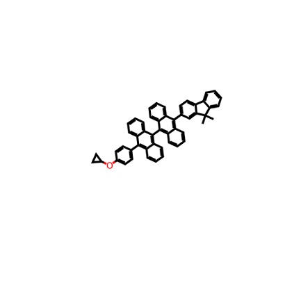 CC1(C)c2ccccc2-c2ccc(-c3c4ccccc4c(-c4c5ccccc5c(-c5ccc(OC6CC6)cc5)c5ccccc45)c4ccccc34)cc21